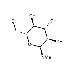 CN[C@H]1O[C@H](CO)[C@@H](O)[C@H](O)[C@H]1O